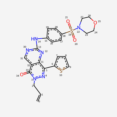 C=CCn1nc(-c2cccs2)c2nc(Nc3ccc(S(=O)(=O)N4CCOCC4)cc3)ncc2c1=O